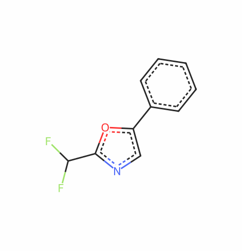 FC(F)c1ncc(-c2ccccc2)o1